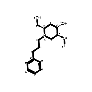 OC[C@H]1C[C@H](O)[C@@H](OI)CN1CCCc1ccccc1